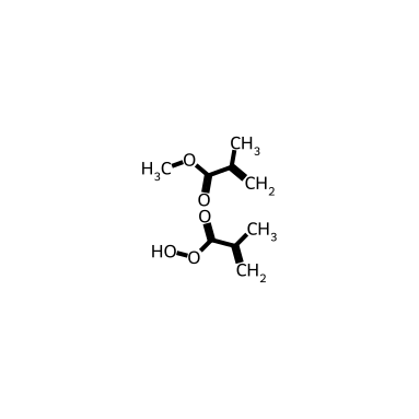 C=C(C)C(=O)OC.C=C(C)C(=O)OO